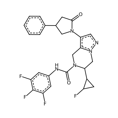 O=C1CC(c2ccccc2)CN1c1cnn2c1CN(C(=O)Nc1cc(F)c(F)c(F)c1)C(C1CC1F)C2